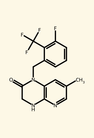 Cc1cnc2c(c1)N(Cc1cccc(F)c1C(F)(F)F)C(=O)CN2